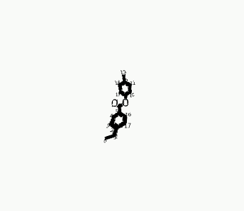 CCc1ccc(C(=O)Oc2ccc(C)cc2)cc1